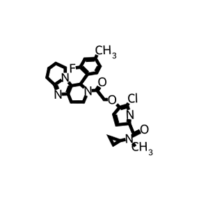 Cc1ccc(C2c3c(nc4n3CCCC4)CCN2C(=O)COc2ccc(C(=O)N(C)C3CC3)nc2Cl)c(F)c1